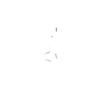 C=CC(=O)OCc1cc(C)cc(C(=O)O)c1